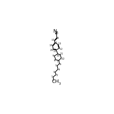 CCCCCCCC1CCC(c2ccc(C=CC#N)cc2)CC1